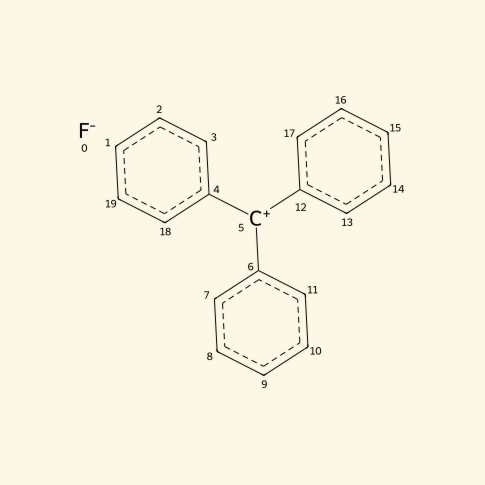 [F-].c1ccc([C+](c2ccccc2)c2ccccc2)cc1